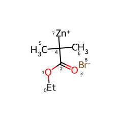 CCOC(=O)[C](C)(C)[Zn+].[Br-]